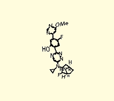 COc1cc(-c2cc(O)c(-c3ncc(N(C4CC4)C4C[C@H]5CC[C@H](N5)C4F)nn3)cc2F)ncn1